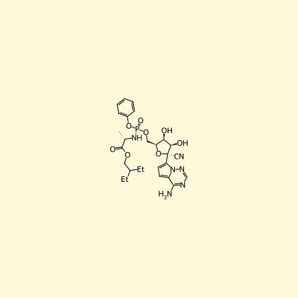 CCC(CC)COC(=O)[C@H](C)N[P@](=O)(OC[C@@H]1O[C@](C#N)(c2ccc3c(N)ncnn23)[C@H](O)[C@@H]1O)Oc1ccccc1